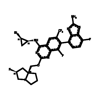 CC[C@@H]1C[C@H]1Nc1nc(OC[C@@]23CCCN2C[C@H](F)C3)nc2c(F)c(-c3ccc(F)c4sc(N)nc34)c(C(F)(F)F)cc12